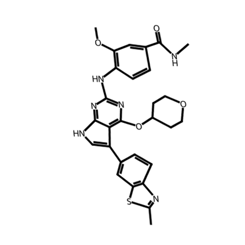 CNC(=O)c1ccc(Nc2nc(OC3CCOCC3)c3c(-c4ccc5nc(C)sc5c4)c[nH]c3n2)c(OC)c1